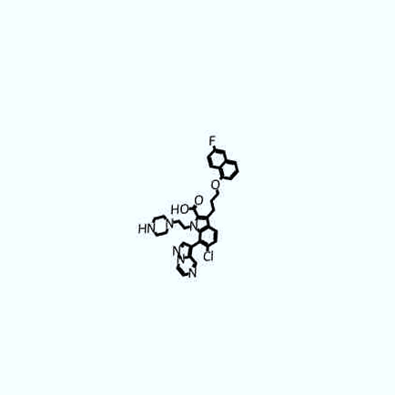 O=C(O)c1c(CCCOc2cccc3cc(F)ccc23)c2ccc(Cl)c(-c3cnn4ccncc34)c2n1CCN1CCNCC1